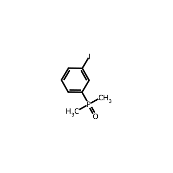 CP(C)(=O)c1cccc(I)c1